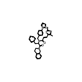 Cc1nc(C)c(C=CC(=O)N(Cc2ccc(-n3cccn3)cc2)C(Cc2ccccc2)C(=O)N2CCc3ccccc3C2)s1